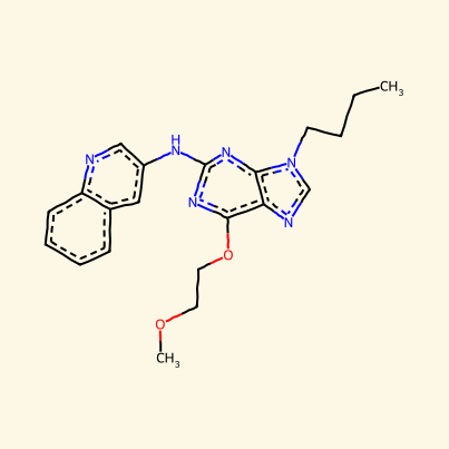 CCCCn1cnc2c(OCCOC)nc(Nc3cnc4ccccc4c3)nc21